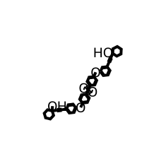 O=S(=O)(c1ccc(Oc2ccc(C#CC3(O)CCCCC3)cc2)cc1)c1ccc(Oc2cccc(C#CC3(O)CCCCC3)c2)cc1